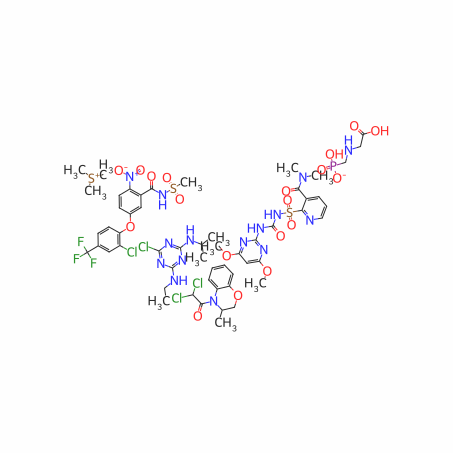 CC1COc2ccccc2N1C(=O)C(Cl)Cl.CCNc1nc(Cl)nc(NC(C)C)n1.COc1cc(OC)nc(NC(=O)NS(=O)(=O)c2ncccc2C(=O)N(C)C)n1.CS(=O)(=O)NC(=O)c1cc(Oc2ccc(C(F)(F)F)cc2Cl)ccc1[N+](=O)[O-].C[S+](C)C.O=C(O)CNCP(=O)([O-])O